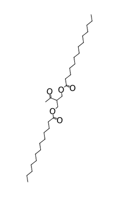 CCCCCCCCCCCCCC(=O)OCC(COC(=O)CCCCCCCCCCCC)C(C)=O